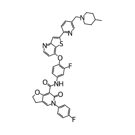 CC1CCN(Cc2ccc(-c3cc4nccc(Oc5ccc(NC(=O)c6c7c(cn(-c8ccc(F)cc8)c6=O)CCO7)cc5F)c4s3)nc2)CC1